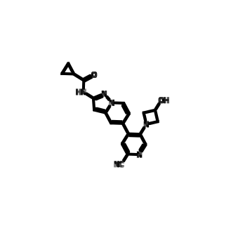 N#Cc1cc(-c2ccn3nc(NC(=O)C4CC4)cc3c2)c(N2CC(O)C2)cn1